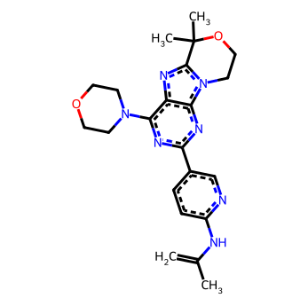 C=C(C)Nc1ccc(-c2nc(N3CCOCC3)c3nc4n(c3n2)CCOC4(C)C)cn1